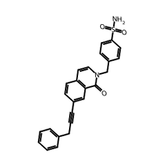 NS(=O)(=O)c1ccc(Cn2ccc3ccc(C#CCc4ccccc4)cc3c2=O)cc1